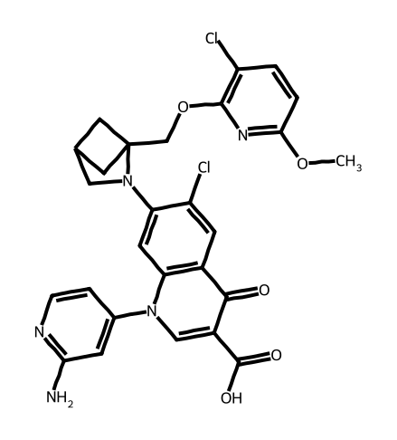 COc1ccc(Cl)c(OCC23CC(CN2c2cc4c(cc2Cl)c(=O)c(C(=O)O)cn4-c2ccnc(N)c2)C3)n1